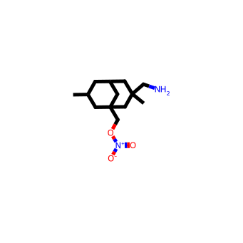 CC1CC2CC(C)(CN)CC(CO[N+](=O)[O-])(C1)C2